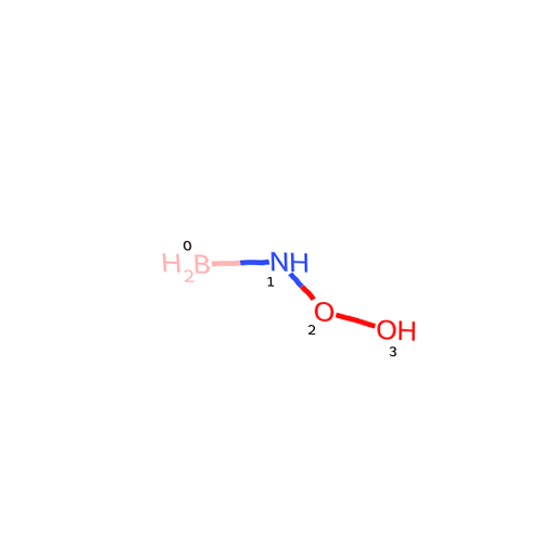 BNOO